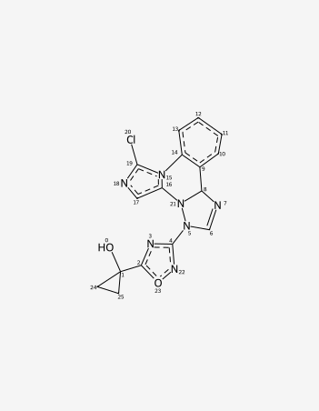 OC1(c2nc(N3C=NC4c5ccccc5-n5c(cnc5Cl)N43)no2)CC1